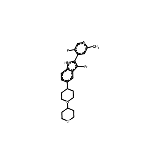 Cc1cc(-c2[nH]c3ccc(C4CCN(C5CCOCC5)CC4)cc3c2C(C)C)c(F)cn1